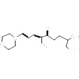 N#C/C(=C\C=C\N1CCOCC1)C(=O)CCC(CO)N=O